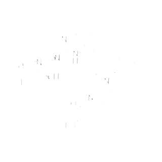 C=CC(=O)N1CCN(C2(c3ccc(C4(Nc5ncc6ccc(=O)n(C(C)C)c6n5)CC4)cc3)CCCC2)CC1